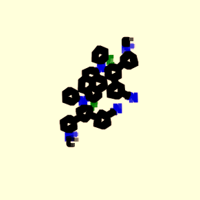 [C-]#[N+]c1cccc(-c2cc(-c3cccc(C#N)c3)c(F)c(N(c3ccccc3)c3ccc4ccc5c(N(c6ccccc6)c6cc(-c7cccc(C#N)c7)cc(-c7cccc([N+]#[C-])c7)c6F)ccc6ccc3c4c65)c2)c1